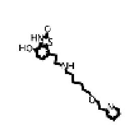 O=c1[nH]c2c(O)ccc(CCNCCCCCCOCCc3ccccn3)c2s1